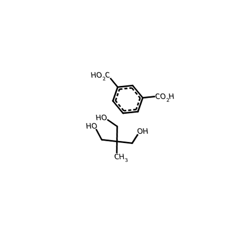 CC(CO)(CO)CO.O=C(O)c1cccc(C(=O)O)c1